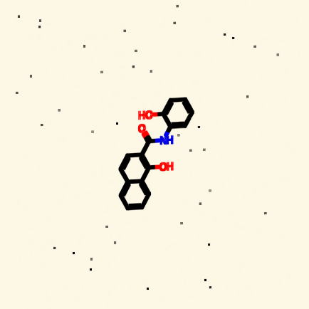 O=C(Nc1ccccc1O)c1ccc2ccccc2c1O